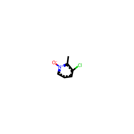 Cc1c(Cl)ccc[n+]1[O-]